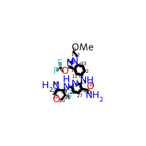 COCCn1nc(OC(F)F)c2cc(Nc3nc(N[C@@H]4CCOC[C@@H]4N)c(F)cc3C(N)=O)ccc21